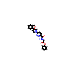 O=C(CNC(=O)c1ccc(N2CCC3(C2)OCc2ccccc23)nn1)Oc1ccccc1